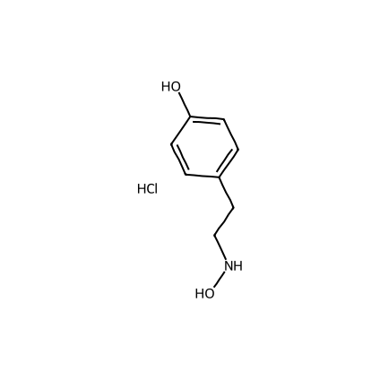 Cl.ONCCc1ccc(O)cc1